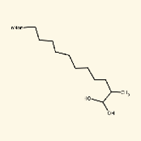 CCCCCCCCCCCCCCCCCCC(C)[C](O)O